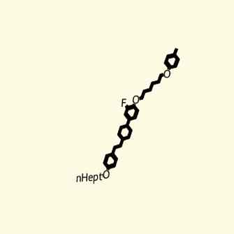 CCCCCCCOc1ccc(CCC2CCC(c3ccc(OCCCCCCOc4ccc(C)cc4)c(F)c3)CC2)cc1